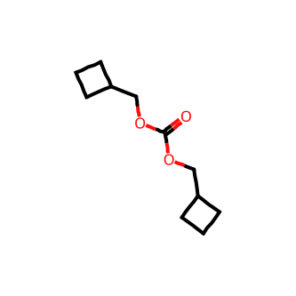 O=C(OCC1CCC1)OCC1CCC1